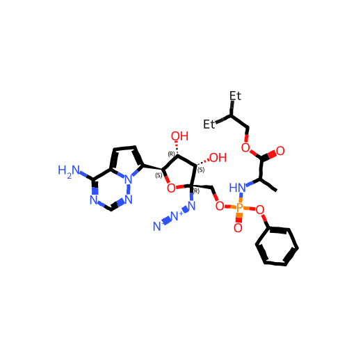 CCC(CC)COC(=O)C(C)NP(=O)(OC[C@@]1(N=[N+]=[N-])O[C@@H](c2ccc3c(N)ncnn23)[C@H](O)[C@@H]1O)Oc1ccccc1